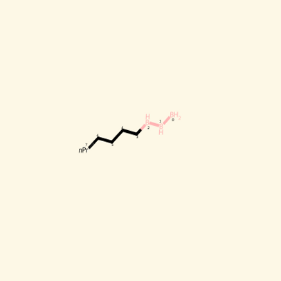 BBBCCCCCCC